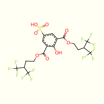 O=C(OCCC(C(F)(F)F)C(F)(F)F)c1cc(S(=O)(=O)O)cc(C(=O)OCCC(C(F)(F)F)C(F)(F)F)c1O